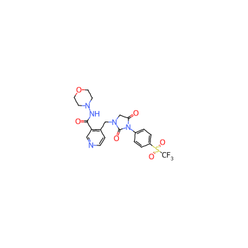 O=C(NN1CCOCC1)c1cnccc1CN1CC(=O)N(c2ccc(S(=O)(=O)C(F)(F)F)cc2)C1=O